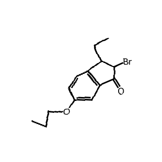 CCCOc1ccc2c(c1)C(=O)C(Br)C2CC